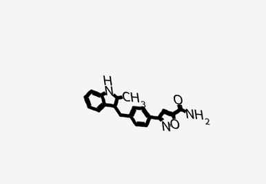 CC1Nc2ccccc2C1Cc1ccc(-c2cc(C(N)=O)on2)cc1